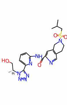 CC(C)CS(=O)(=O)N1CCc2cnc(C(=O)Nc3cccc(-c4nnnn4[C@H](C)CO)n3)cc2C1